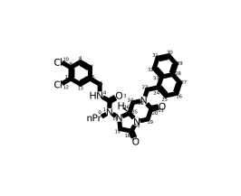 CCCN(C(=O)NCc1ccc(Cl)c(Cl)c1)N1CC(=O)N2CC(=O)N(Cc3cccc4ccccc34)C[C@@H]21